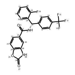 O=C(N[C@@H](c1ccc(C(F)(F)F)cc1)c1ncccc1F)c1ccc2oc(=O)[nH]c2c1